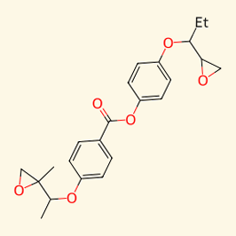 CCC(Oc1ccc(OC(=O)c2ccc(OC(C)C3(C)CO3)cc2)cc1)C1CO1